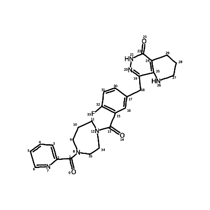 O=C(c1ccccn1)N1CCCN(C(=O)c2cc(Cc3n[nH]c(=O)c4c3NCCC4)ccc2F)CC1